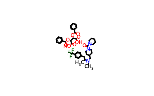 CCN(CC1CCN(C(=O)N2CCCCC2)CC1)C(C)Cc1ccc(C(F)(F)F)cc1.O=C(O[C@@H](C(=O)O)[C@@H](OC(=O)c1ccccc1)C(=O)O)c1ccccc1